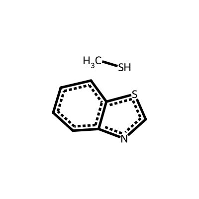 CS.c1ccc2scnc2c1